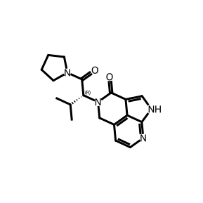 CC(C)[C@H](C(=O)N1CCCC1)N1Cc2ccnc3[nH]cc(c23)C1=O